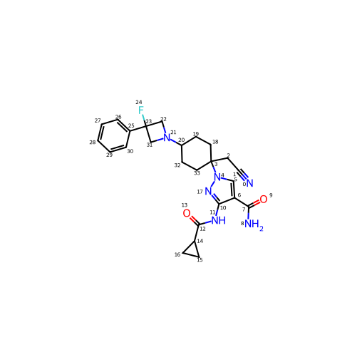 N#CCC1(n2cc(C(N)=O)c(NC(=O)C3CC3)n2)CCC(N2CC(F)(c3ccccc3)C2)CC1